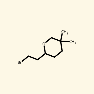 CC1(C)CCC(CCBr)OC1